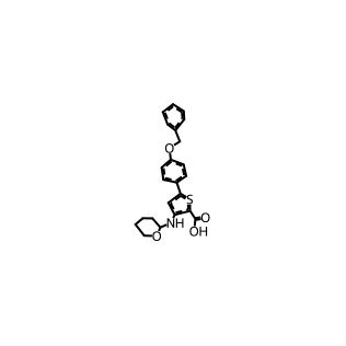 O=C(O)c1sc(-c2ccc(OCc3ccccc3)cc2)cc1NC1CCCCO1